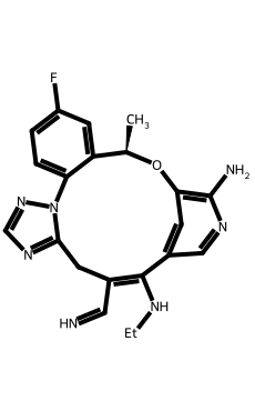 CCN/C1=C(\C=N)Cc2ncnn2-c2ccc(F)cc2[C@@H](C)Oc2cc1cnc2N